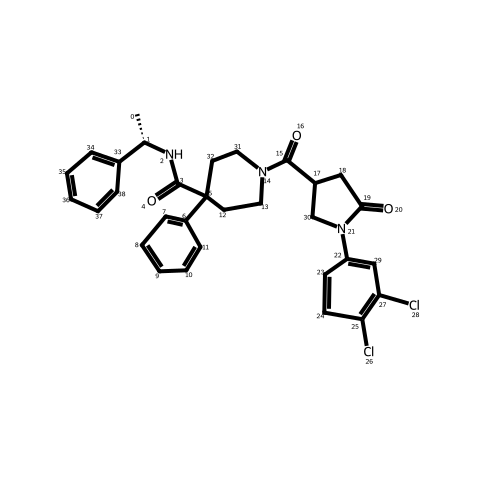 C[C@H](NC(=O)C1(c2ccccc2)CCN(C(=O)C2CC(=O)N(c3ccc(Cl)c(Cl)c3)C2)CC1)c1ccccc1